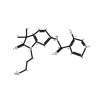 CC1(C)C(=O)N(CCCO)c2cc(NC(=O)c3ccncc3F)ccc21